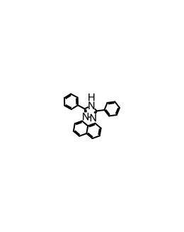 c1ccc(-c2nnc(-c3ccccc3)[nH]2)cc1.c1ccc2ccccc2c1